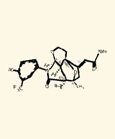 CNC(=O)/C=C1\C[C@@]2(C)O[C@@]13CCO[C@H]1[C@@H]3[C@@H]2C(=O)N1c1ccc(C#N)c(C(F)(F)F)c1